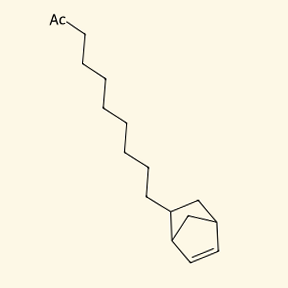 CC(=O)CCCCCCCCC1CC2C=CC1C2